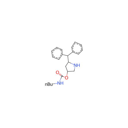 CCCCNC(=O)OC1CNC(C(c2ccccc2)c2ccccc2)C1